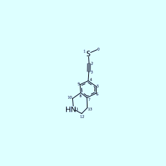 CSC#Cc1ccc2c(c1)CNCC2